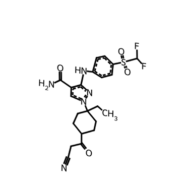 CCC1(n2cc(C(N)=O)c(Nc3ccc(S(=O)(=O)C(F)F)cc3)n2)CCC(C(=O)CC#N)CC1